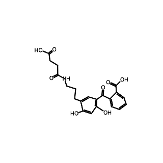 O=C(O)CCC(=O)NCCCc1cc(C(=O)c2ccccc2C(=O)O)c(O)cc1O